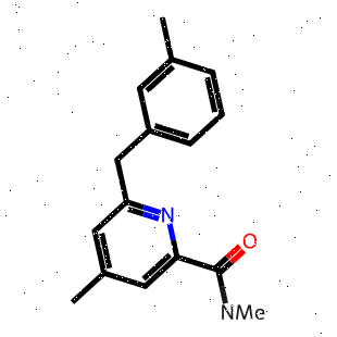 CNC(=O)c1cc(C)cc(Cc2cccc(C)c2)n1